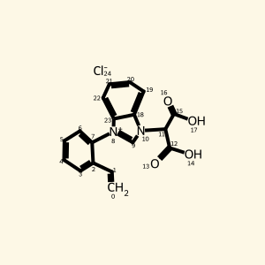 C=Cc1ccccc1-[n+]1cn(C(C(=O)O)C(=O)O)c2ccccc21.[Cl-]